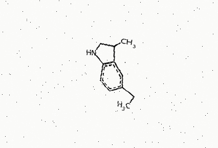 CCc1ccc2c(c1)C(C)CN2